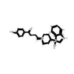 O=C(CCCN1CCC([N+]2([O-])C=Nc3ccccc32)CC1)c1ccc(F)cc1